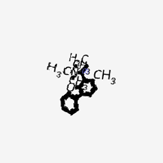 C/C=C(/c1c(C)ccc2c1oc1ccccc12)[N+](C)(C)C